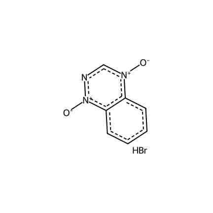 Br.[O-][n+]1cn[n+]([O-])c2ccccc21